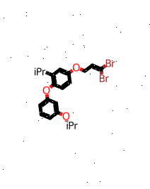 CC(C)Oc1cccc(Oc2ccc(OCC=C(Br)Br)cc2C(C)C)c1